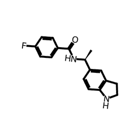 C[C@H](NC(=O)c1ccc(F)cc1)c1ccc2c(c1)CCN2